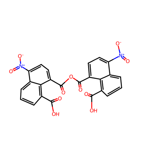 O=C(O)c1cccc2c([N+](=O)[O-])ccc(C(=O)OC(=O)c3ccc([N+](=O)[O-])c4cccc(C(=O)O)c34)c12